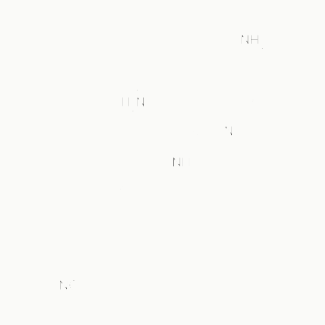 N#Cc1ccc(CNc2ncc(N)cc2N)cc1